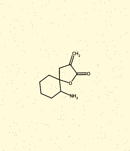 C=C1CC2(CCCCC2N)OC1=O